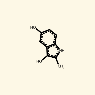 Cc1[nH]c2ccc(O)cc2c1O